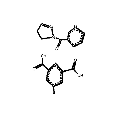 Cc1cc(C(=O)O)cc(C(=O)O)c1.O=C(c1cccnc1)N1CCC=N1